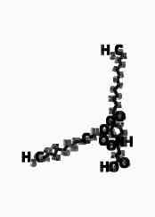 CCCCCCCCCCCCCC(=O)OC1CCC(NC(=O)CCC(=O)O)CC1OC(=O)CCCCCCCCCCCCC